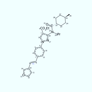 CCOC(=O)c1cn(-c2ccc(/C=C/c3ccoc3)cc2)nc1N(C(=O)[C@H]1CC[C@H](C)CC1)C(C)C